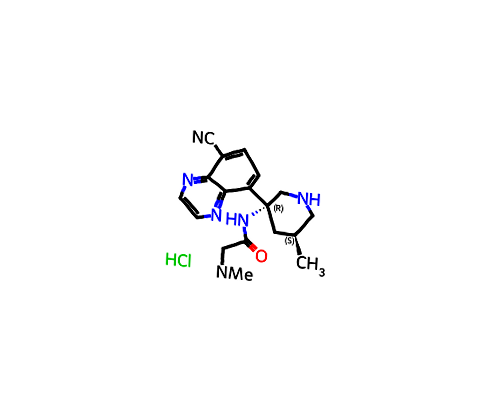 CNCC(=O)N[C@]1(c2ccc(C#N)c3nccnc23)CNC[C@@H](C)C1.Cl